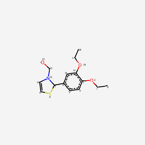 CCOc1ccc(C2SC=CN2C[O])cc1OCC